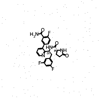 NC(=O)c1cc(-c2cccnc2[C@H](Cc2cc(F)cc(F)c2)NC(=O)[C@H]2CCC(=O)N2)ccc1F